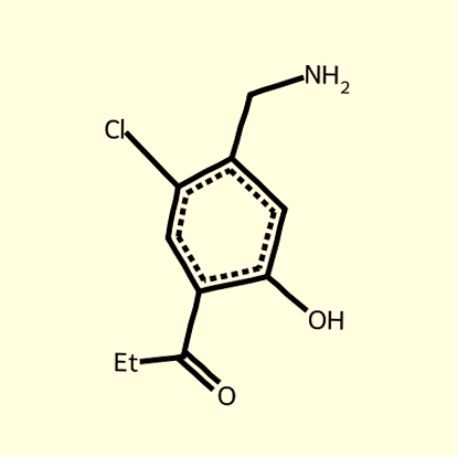 CCC(=O)c1cc(Cl)c(CN)cc1O